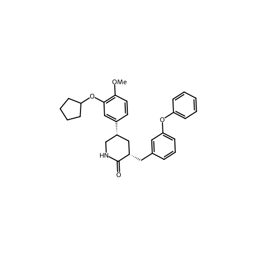 COc1ccc([C@H]2CNC(=O)[C@@H](Cc3cccc(Oc4ccccc4)c3)C2)cc1OC1CCCC1